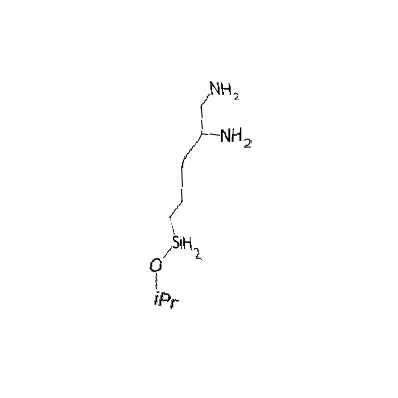 CC(C)O[SiH2]CCCC(N)CN